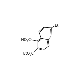 CCOC(=O)c1ccc2cc(CC)ccc2c1C(=O)O